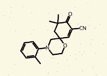 Cc1ccccc1N1CCOC2(C=C(C#N)C(=O)C(C)(C)C2)C1